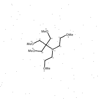 COCCN(CCOC)C(COC)(COC)COC